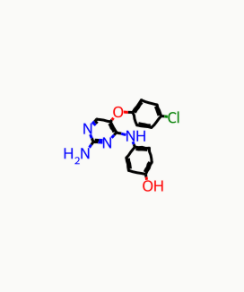 Nc1ncc(Oc2ccc(Cl)cc2)c(Nc2ccc(O)cc2)n1